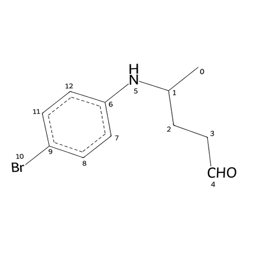 CC(CCC=O)Nc1ccc(Br)cc1